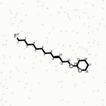 FCCCCCCCCC=CCCOC1CCCCO1